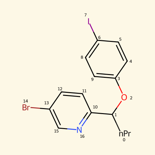 CCCC(Oc1ccc(I)cc1)c1ccc(Br)cn1